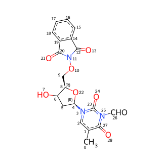 Cc1cn([C@H]2CC(O)[C@@H](CON3C(=O)c4ccccc4C3=O)O2)c(=O)n(C=O)c1=O